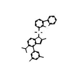 CC1=Cc2c(ccc(C(C)C)c2-c2cc(C)cc(C)c2)[CH]1[Zr]([Cl])([Cl])[c]1cccc2c1[SiH2]c1ccccc1-2